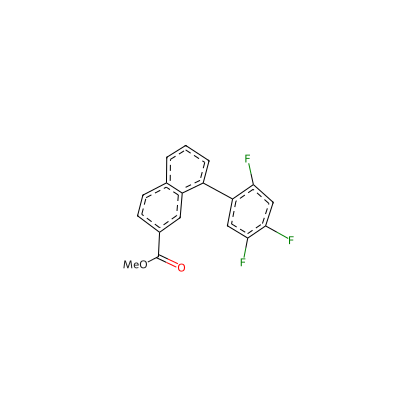 COC(=O)c1ccc2cccc(-c3cc(F)c(F)cc3F)c2c1